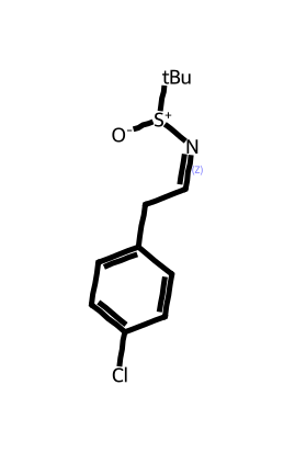 CC(C)(C)[S+]([O-])/N=C\Cc1ccc(Cl)cc1